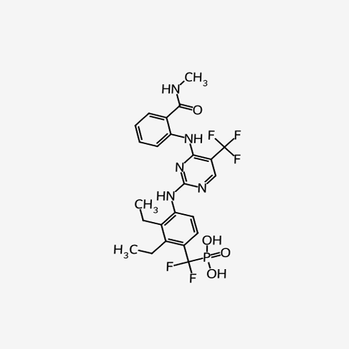 CCc1c(Nc2ncc(C(F)(F)F)c(Nc3ccccc3C(=O)NC)n2)ccc(C(F)(F)P(=O)(O)O)c1CC